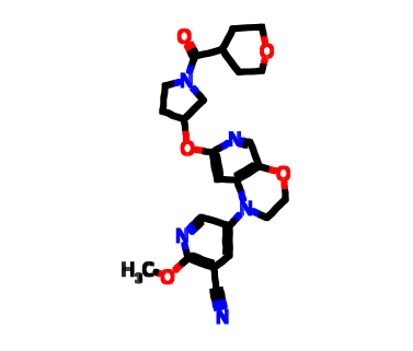 COc1ncc(N2CCOc3cnc(OC4CCN(C(=O)C5CCOCC5)C4)cc32)cc1C#N